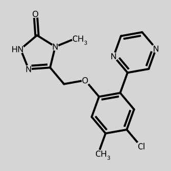 Cc1cc(OCc2n[nH]c(=O)n2C)c(-c2cnccn2)cc1Cl